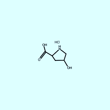 Cl.O=C(O)C1CC(O)CN1